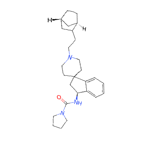 O=C(N[C@H]1CC2(CCN(CCC3C[C@@H]4CC[C@@H]3C4)CC2)c2ccccc21)N1CCCC1